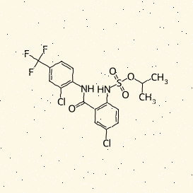 CC(C)OS(=O)(=O)Nc1ccc(Cl)cc1C(=O)Nc1ccc(C(F)(F)F)cc1Cl